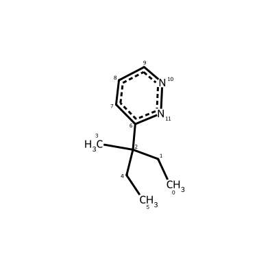 CCC(C)(CC)c1cccnn1